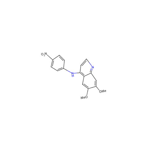 COc1cc2nccc(Nc3ccc([N+](=O)[O-])cc3)c2cc1OC